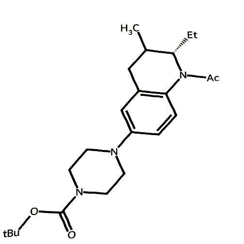 CC[C@H]1C(C)Cc2cc(N3CCN(C(=O)OC(C)(C)C)CC3)ccc2N1C(C)=O